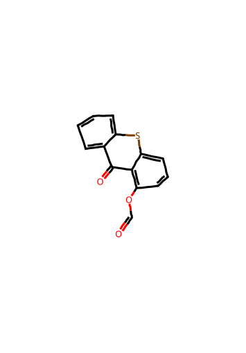 O=COc1cccc2sc3ccccc3c(=O)c12